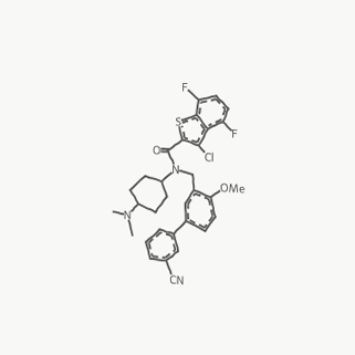 COc1ccc(-c2cccc(C#N)c2)cc1CN(C(=O)c1sc2c(F)ccc(F)c2c1Cl)C1CCC(N(C)C)CC1